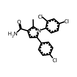 Cc1c(C(N)=O)cc(-c2ccc(Cl)cc2)n1-c1ccc(Cl)cc1Cl